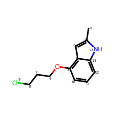 Cc1cc2c(OCCCCl)cccc2[nH]1